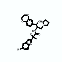 O=C(NC(CN1CCCC1)C(O)c1ccc2c(c1)OCCO2)C(F)(F)c1cc2cc(Br)ccc2o1